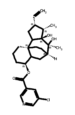 C=C[C@H]1CC2[C@]34CCC[C@H](OC(=O)c5cncc(Cl)c5)C3C[C@@H](CC4)[C@](C)(O)[C@@]2(O)[C@H]1C